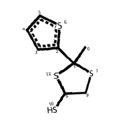 CC1(c2cccs2)SCC(S)S1